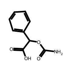 NC(=O)OC(C(=O)O)c1ccccc1